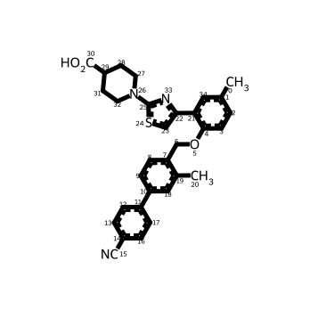 Cc1ccc(OCc2ccc(-c3ccc(C#N)cc3)cc2C)c(-c2csc(N3CCC(C(=O)O)CC3)n2)c1